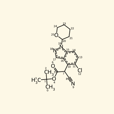 CC(C)(C)OC(=O)C(C#N)c1c(Cl)ccc2c1cnn2C1CCCCO1